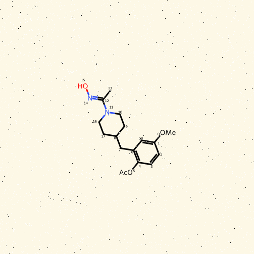 COc1ccc(OC(C)=O)c(CC2CCN(C(C)=NO)CC2)c1